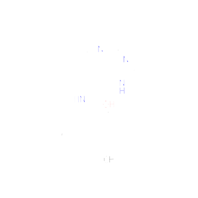 C#Cc1cccc(NC(O)c2ccnc3nc[nH]c23)c1